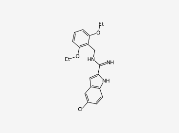 CCOc1cccc(OCC)c1CNC(=N)c1cc2cc(Cl)ccc2[nH]1